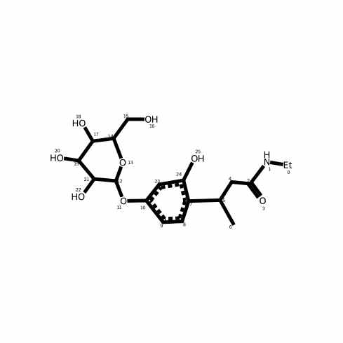 CCNC(=O)CC(C)c1ccc(OC2OC(CO)C(O)C(O)C2O)cc1O